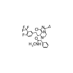 CNC(=O)[C@@H](c1ccccc1)N1CCn2c(C3CC3)nc(Cl)c2[C@@H]1CCc1ccc(F)c(C(F)(F)F)c1